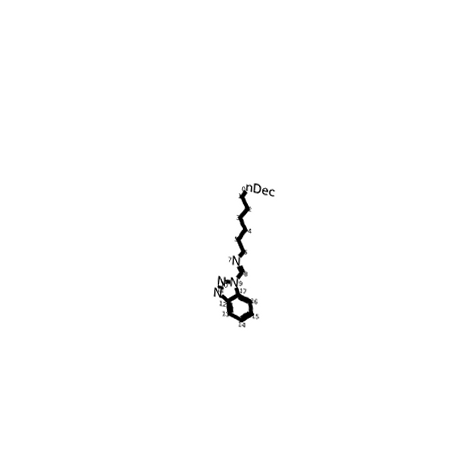 CCCCCCCCCCCCCCCCN=Cn1nnc2ccccc21